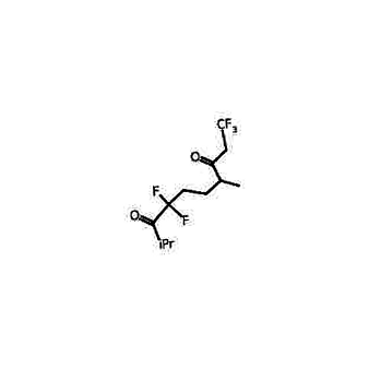 CC(C)C(=O)C(F)(F)CCC(C)C(=O)CC(F)(F)F